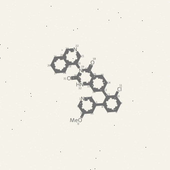 COc1cncc(-c2cccc(Cl)c2-c2ccc3c(=O)n(-c4cncc5ccccc45)c(=O)[nH]c3c2)c1